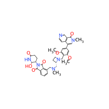 COc1cc(-c2cn(C)c(=O)c3cnccc23)cc(OC)c1CN1CC[C@H]1CN(C)Cc1cccc2c1C(=O)N(C1CCC(=O)NC1O)C2=O